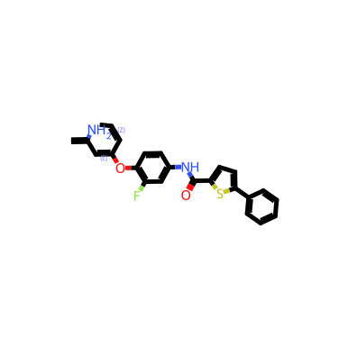 C=C(N)/C=C(\C=C/C)Oc1ccc(NC(=O)c2ccc(-c3ccccc3)s2)cc1F